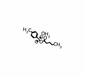 CCCCC(=O)OS(=O)(=O)c1ccc(C)cc1.O